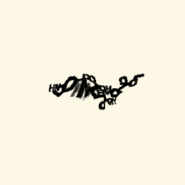 CCOC(=O)c1cccc(NC(C[C@@H](NC(=O)c2ccc3c(c2)CCN3)C(=O)O)C(=O)O)c1